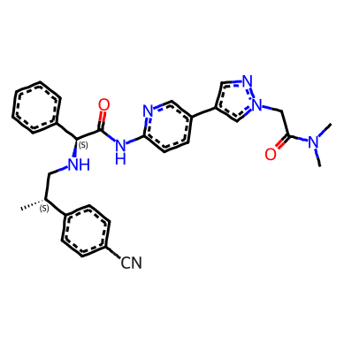 C[C@H](CN[C@H](C(=O)Nc1ccc(-c2cnn(CC(=O)N(C)C)c2)cn1)c1ccccc1)c1ccc(C#N)cc1